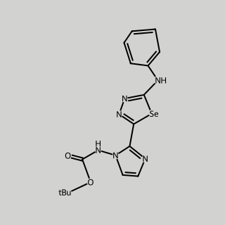 CC(C)(C)OC(=O)Nn1ccnc1-c1nnc(Nc2ccccc2)[se]1